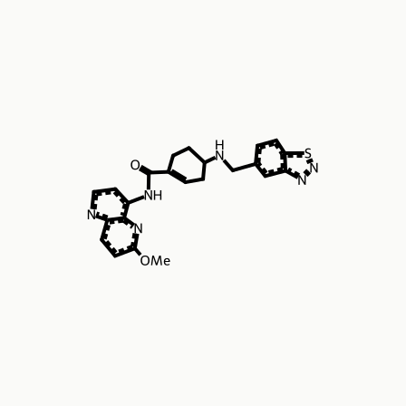 COc1ccc2nccc(NC(=O)C3=CCC(NCc4ccc5snnc5c4)CC3)c2n1